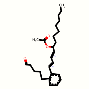 CCCCCCCCC(/C=C/C=C/c1ccccc1CCCCC=O)OC(C)=O